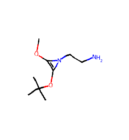 COC1=C(OC(C)(C)C)N1CCN